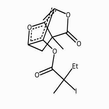 CCC(C)(I)C(=O)Oc1c2oc3c1OC(=O)C3(C)C2